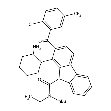 CCCCN(CC(F)(F)F)C(=O)C1c2ccccc2-c2ccc(C(=O)c3cc(C(F)(F)F)ccc3Cl)c(N3CCCCC3N)c21